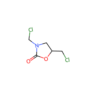 O=C1OC(CCl)CN1CCl